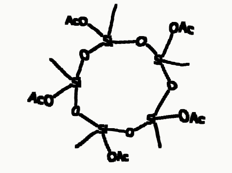 CC(=O)O[Si]1(C)O[Si](C)(OC(C)=O)O[Si](C)(OC(C)=O)O[Si](C)(OC(C)=O)O[Si](C)(OC(C)=O)O1